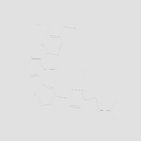 CNCc1ccc(-c2cccc(-c3ccnc(-c4ccc(CNC(C)C)c(OC)c4)c3Cl)c2Cl)nc1OC